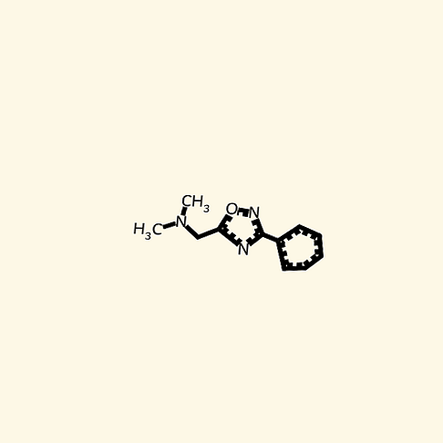 CN(C)Cc1nc(-c2ccccc2)no1